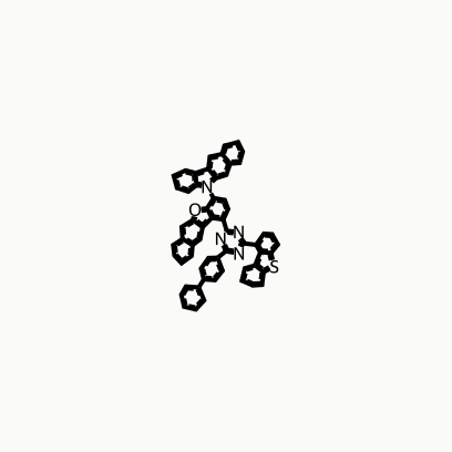 c1ccc(-c2ccc(-c3nc(-c4cccc5sc6ccccc6c45)nc(-c4ccc(-n5c6ccccc6c6cc7ccccc7cc65)c5oc6cc7ccccc7cc6c45)n3)cc2)cc1